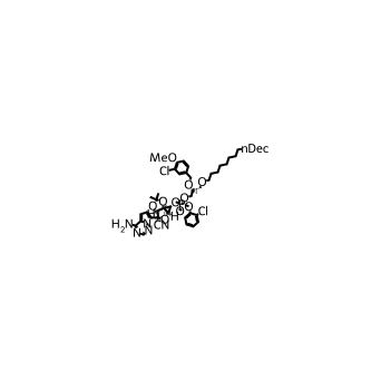 CCCCCCCCCCCCCCCCCCOC[C@H](COP(=O)(Oc1ccccc1Cl)OC1[C@H]2O[C@@](C#N)(c3ccc4c(N)ncnn34)[C@@H]3OC(C)(C)O[C@]123)OCc1ccc(OC)c(Cl)c1